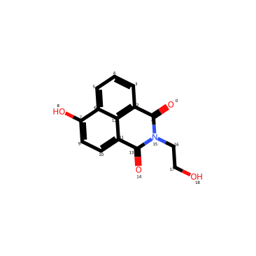 O=C1c2cccc3c(O)ccc(c23)C(=O)N1CCO